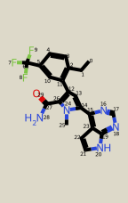 CCc1ccc(C(F)(F)F)cc1-c1cc(-c2ncnc3[nH]ccc23)n(C)c1C(N)=O